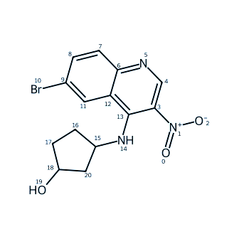 O=[N+]([O-])c1cnc2ccc(Br)cc2c1NC1CCC(O)C1